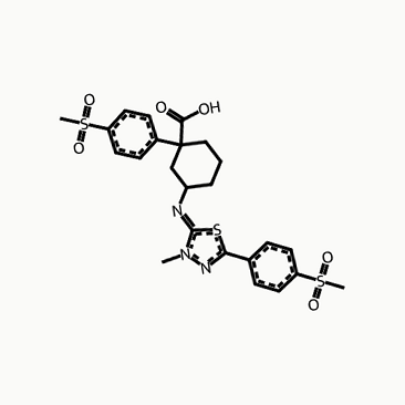 Cn1nc(-c2ccc(S(C)(=O)=O)cc2)sc1=NC1CCCC(C(=O)O)(c2ccc(S(C)(=O)=O)cc2)C1